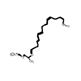 [CH2][C@@H](COCCCCCCCC)OCCCCCCCC/C=C\C/C=C\CCCCC